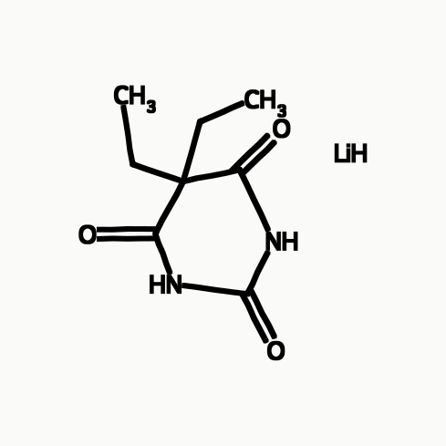 CCC1(CC)C(=O)NC(=O)NC1=O.[LiH]